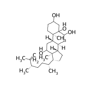 C=C(C)[C@@H](C)CC[C@@H](C)[C@H]1CC[C@H]2[C@@H]3CC(O)C4(O)CC(O)CC[C@]4(C)[C@H]3CC(O)[C@]12C